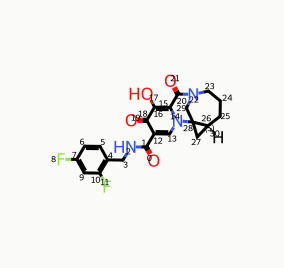 O=C(NCc1ccc(F)cc1F)c1cn2c(c(O)c1=O)C(=O)N1CCC[C@H]3CC32C1